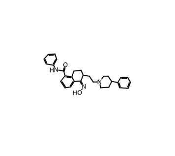 O=C(Nc1ccccc1)c1cccc2c1CCC(CCN1CCC(c3ccccc3)CC1)C2=NO